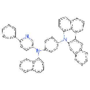 c1ccc(-c2ccc(N(c3ccc(N4c5cc6ccccc6cc5-c5cccc6cccc4c56)cc3)c3cccc4ccccc34)cn2)cc1